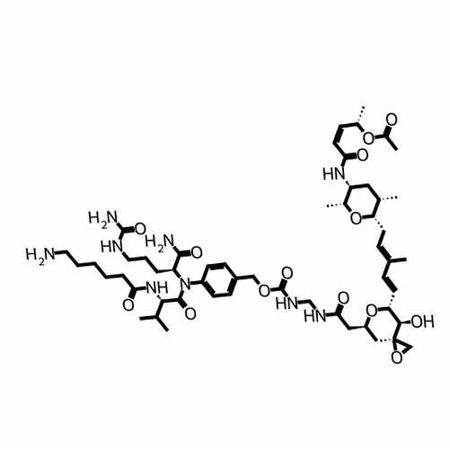 CC(=O)O[C@@H](C)/C=C\C(=O)N[C@@H]1C[C@H](C)[C@H](C/C=C(C)/C=C/[C@H]2O[C@H](CC(=O)NCNC(=O)OCc3ccc(N(C(=O)[C@@H](NC(=O)CCCCCN)C(C)C)[C@@H](CCCNC(N)=O)C(N)=O)cc3)C[C@@]3(CO3)[C@@H]2O)O[C@@H]1C